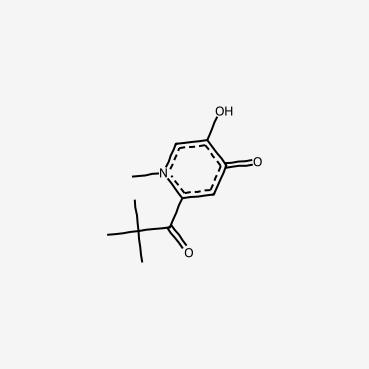 Cn1cc(O)c(=O)cc1C(=O)C(C)(C)C